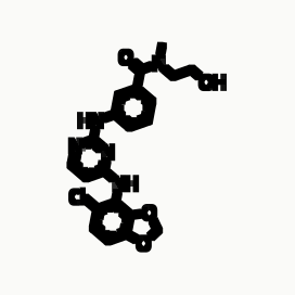 CN(CCO)C(=O)c1cccc(Nc2nccc(Nc3c(Cl)ccc4c3OCO4)n2)c1